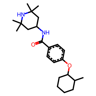 CC1CCCCC1Oc1ccc(C(=O)NC2CC(C)(C)NC(C)(C)C2)cc1